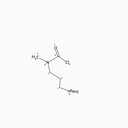 CCCCCCCCN(C)C(=O)Cl